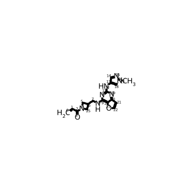 C=CC(=O)N1CC(CNc2nc(Nc3cnn(C)c3)nc3ccoc23)C1